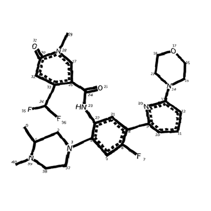 CC1CN(c2cc(F)c(-c3cccc(N4CCOCC4)n3)cc2NC(=O)c2cn(C)c(=O)cc2C(F)F)CCN1C